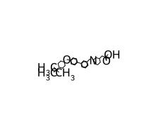 CC(C)(C)[C@H]1CC[C@H](Oc2ccc(-c3cccc(CN4CCCC(CC(=O)O)C4)c3)cc2)CC1